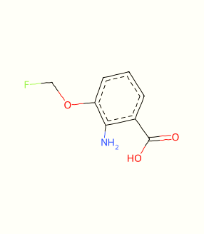 Nc1c(OCF)cccc1C(=O)O